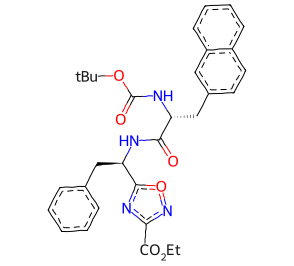 CCOC(=O)c1noc([C@@H](Cc2ccccc2)NC(=O)[C@@H](Cc2ccc3ccccc3c2)NC(=O)OC(C)(C)C)n1